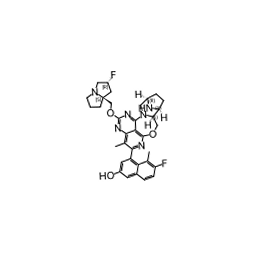 Cc1c(-c2cc(O)cc3ccc(F)c(C)c23)nc2c3c(nc(OC[C@@]45CCCN4C[C@H](F)C5)nc13)N1C[C@H]3CC[C@H](N3)[C@H]1CO2